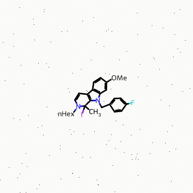 CCCCCCN1C=Cc2c(n(Cc3ccc(F)cc3)c3cc(OC)ccc23)C1(C)I